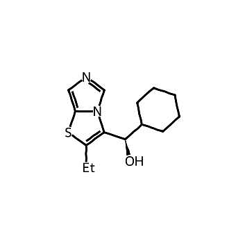 CCc1sc2cncn2c1[C@H](O)C1CCCCC1